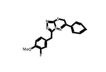 COc1ccc(Cc2nnc3n2N=C(c2ccccc2)CS3)cc1F